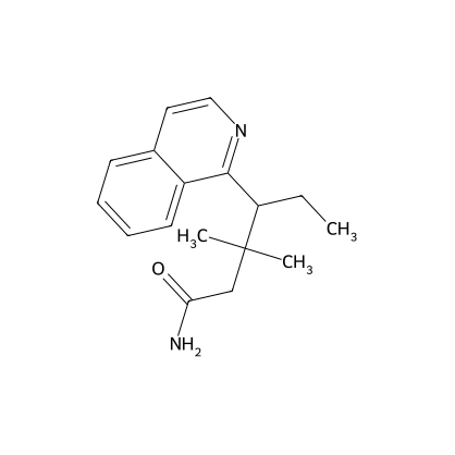 CCC(c1nccc2ccccc12)C(C)(C)CC(N)=O